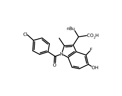 CCCCC(C(=O)O)c1c(C)n(C(=O)c2ccc(Cl)cc2)c2ccc(O)c(F)c12